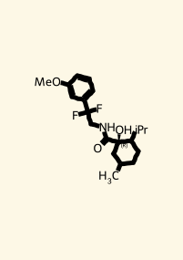 COc1cccc(C(F)(F)CNC(=O)[C@@]2(O)CC(C)CCC2C(C)C)c1